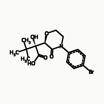 CC(C)(C)[C@](O)(C(=O)O)[C@H]1OCCN(c2ccc(Br)cc2)C1=O